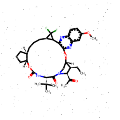 CC[C@@H]1[C@@H]2CN(C(=O)[C@H](C(C)(C)C)NC(=O)O[C@@H]3CCC[C@H]3CCCC3C(c4nc5ccc(OC)cc5nc4O2)C3(F)F)[C@@H]1C(C)=O